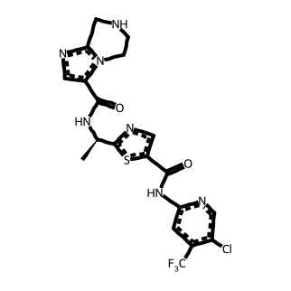 C[C@@H](NC(=O)c1cnc2n1CCNC2)c1ncc(C(=O)Nc2cc(C(F)(F)F)c(Cl)cn2)s1